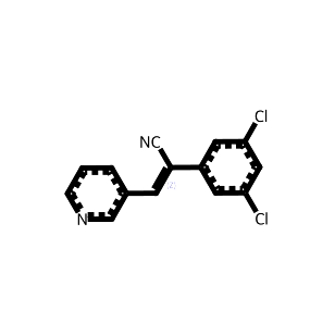 N#C/C(=C\c1cccnc1)c1cc(Cl)cc(Cl)c1